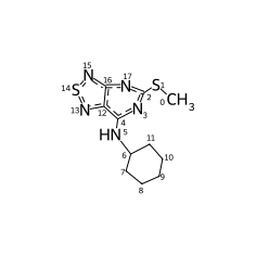 CSc1nc(NC2CCCCC2)c2nsnc2n1